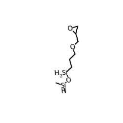 C[SiH](C)O[SiH2]CCCOCC1CO1